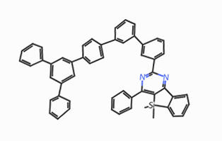 C[Si]1(C)c2ccccc2-c2nc(-c3cccc(-c4cccc(-c5ccc(-c6cc(-c7ccccc7)cc(-c7ccccc7)c6)cc5)c4)c3)nc(-c3ccccc3)c21